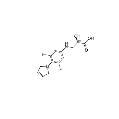 O=C(O)[C@H](O)CNc1cc(F)c(N2CC=CC2)c(F)c1